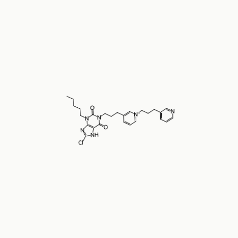 CCCCCn1c(=O)n(CCCc2ccc[n+](CCCc3cccnc3)c2)c(=O)c2[nH]c(Cl)nc21